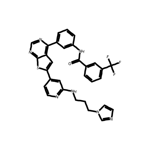 O=C(Nc1cccc(-c2ncnc3sc(-c4ccnc(NCCCn5ccnc5)c4)cc23)c1)c1cccc(C(F)(F)F)c1